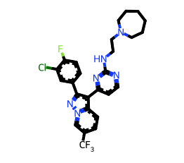 Fc1ccc(-c2nn3cc(C(F)(F)F)ccc3c2-c2ccnc(NCCN3CCCCCC3)n2)cc1Cl